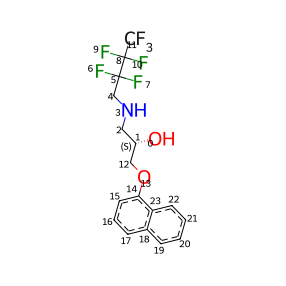 O[C@@H](CNCC(F)(F)C(F)(F)C(F)(F)F)COc1cccc2ccccc12